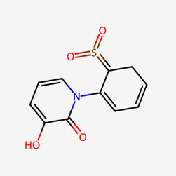 O=c1c(O)cccn1C1=CC=CCC1=S(=O)=O